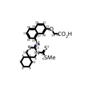 CSC(=S)N1CC2(CCCCC2)CS/C1=N\c1cccc2ccc(OCC(=O)O)cc12